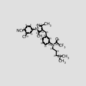 Cc1nn(-c2ccc(C#N)c(Cl)c2)c(C)c1Cc1cccc(N(CCCN(C)C)C(=O)C(F)(F)F)c1